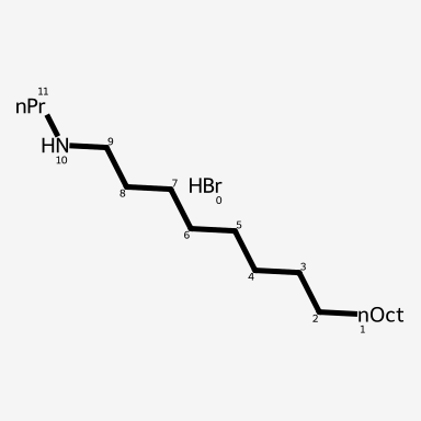 Br.CCCCCCCCCCCCCCCCNCCC